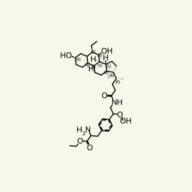 CCOC(=O)C(N)Cc1ccc(C(CNC(=O)CC[C@@H](C)[C@H]2CC[C@H]3[C@@H]4[C@H](O)[C@H](CC)C5C[C@H](O)CC[C@]5(C)[C@H]4CC[C@]23C)OO)cc1